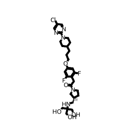 O=C(Cc1c(F)cc(OCCCC2CCN(c3ncc(Cl)cn3)CC2)cc1F)N1CC[C@@H](CNC(CO)(CO)CO)C1